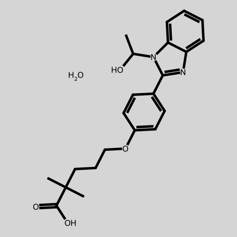 CC(O)n1c(-c2ccc(OCCCC(C)(C)C(=O)O)cc2)nc2ccccc21.O